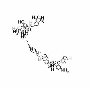 Cc1ncsc1-c1ccc(CNC(=O)[C@@H]2C[C@@H](O)CN2C(=O)[C@@H](NC(=O)CCCCCCCN2CCC(N3CCC(CNc4ccc(S(=O)(=O)NC(=O)c5ccc(N)cc5Oc5cnc6[nH]ccc6c5)cc4N=O)CC3)CC2)C(C)(C)C)cc1